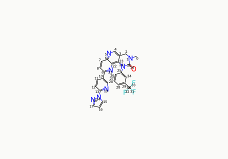 CN1Cc2cnc3ccc(-c4ccc(-n5cccn5)nc4)nc3c2N(c2cccc(C(F)(F)F)c2)C1=O